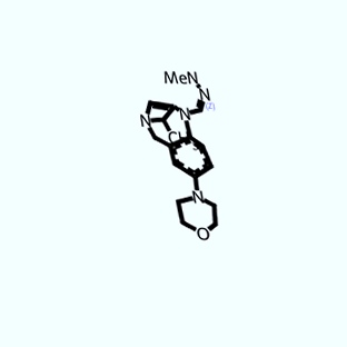 CN/N=C\N1C2=CN(Cc3cc(N4CCOCC4)ccc31)C2C